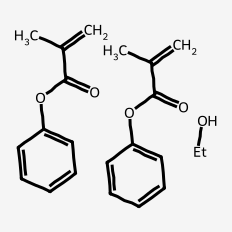 C=C(C)C(=O)Oc1ccccc1.C=C(C)C(=O)Oc1ccccc1.CCO